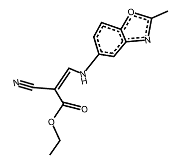 CCOC(=O)/C(C#N)=C\Nc1ccc2oc(C)nc2c1